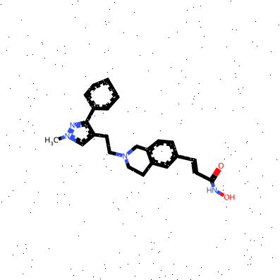 Cn1cc(CCN2CCc3cc(C=CC(=O)NO)ccc3C2)c(-c2ccccc2)n1